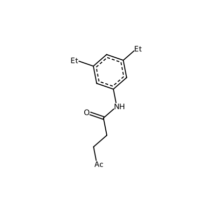 CCc1cc(CC)cc(NC(=O)CCC(C)=O)c1